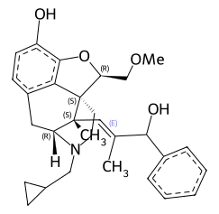 COC[C@@H]1Oc2c(O)ccc3c2[C@@]12CCN(CC1CC1)[C@H](C3)[C@@]2(C)/C=C(\C)C(O)c1ccccc1